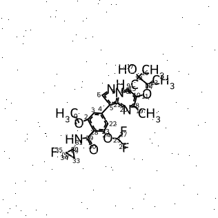 COc1cc(-c2cnn3cc(O[C@H](C)C(C)(C)O)c(C)nc23)cc(OC(F)F)c1C(=O)N[C@@H]1C[C@@H]1F